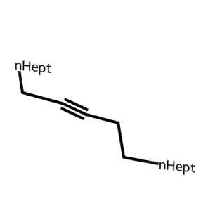 CC[CH]CCCCCCC#CCCCCCCCC